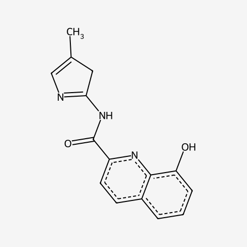 CC1=CN=C(NC(=O)c2ccc3cccc(O)c3n2)C1